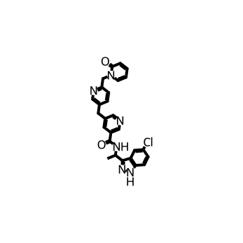 CC(NC(=O)c1cncc(Cc2ccc(Cn3ccccc3=O)nc2)c1)c1n[nH]c2ccc(Cl)cc12